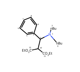 CCCCN(CCCC)C(c1ccccc1)C(C(=O)OCC)C(=O)OCC